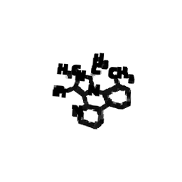 Cc1cccc2c1N1C(=C(C(C)C)N(C)[C@@H]1C)c1ncccc1-2